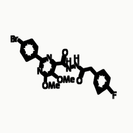 COc1nc(-c2ccc(Br)cc2)nc(C(=O)NNC(=O)Cc2ccc(F)cc2)c1OC